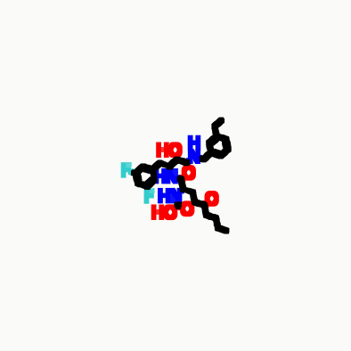 CCCCC(=O)CC[C@@H](NC(=O)O)C(=O)N[C@@H](Cc1cc(F)cc(F)c1)[C@H](O)CNCc1cccc(CC)c1